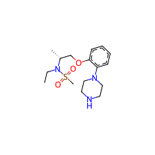 CCN([C@H](C)COc1ccccc1N1CCNCC1)S(C)(=O)=O